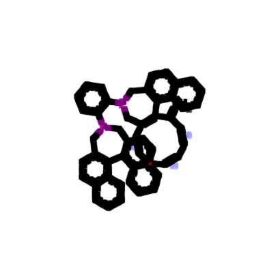 C=C1/C=C\C=C/C/C=C\C2=C1c1c(ccc3ccccc13)CP(c1ccccc1P1Cc3ccc4ccccc4c3-c3c(ccc4ccccc34)C1)C2